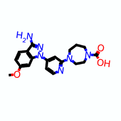 COc1ccc2c(N)nn(-c3ccnc(N4CCCN(C(=O)O)CC4)c3)c2c1